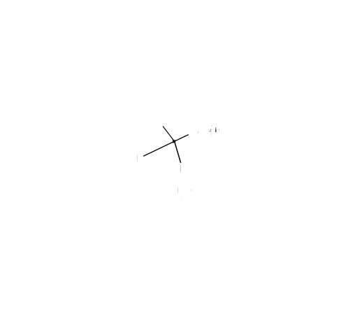 O.O=C(O)C(F)(F)F.[Zn]